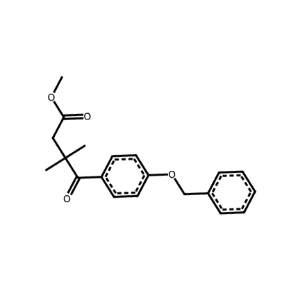 COC(=O)CC(C)(C)C(=O)c1ccc(OCc2ccccc2)cc1